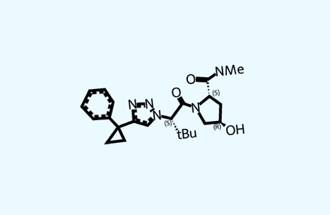 CNC(=O)[C@@H]1C[C@@H](O)CN1C(=O)[C@@H](n1cc(C2(c3ccccc3)CC2)nn1)C(C)(C)C